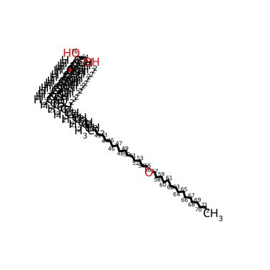 C=C.C=C.C=C.C=C.C=C.C=C.C=C.C=C.C=C.C=C.C=C.C=C.C=C.C=C.C=C.C=C.C=C.C=C.C=C.C=C.CCCCCCCCCCCCCCCCOCCCCCCCCCCCCCCCC.OCCO